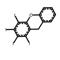 Ic1c(I)c(I)c2c(c1I)Cc1ccccc1O2